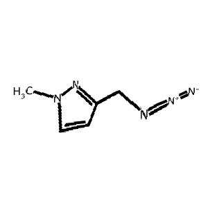 Cn1ccc(CN=[N+]=[N-])n1